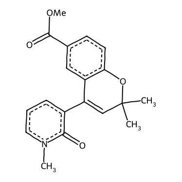 COC(=O)c1ccc2c(c1)C(c1cccn(C)c1=O)=CC(C)(C)O2